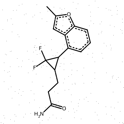 Cc1cc2c(C3C(CCC(N)=O)C3(F)F)cccc2o1